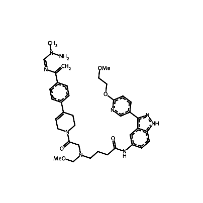 C=C(/N=C\N(C)N)c1ccc(C2=CCN(C(=O)CN(CCCC(=O)Nc3ccc4[nH]nc(-c5ccc(OCCOC)nc5)c4c3)COC)CC2)cc1